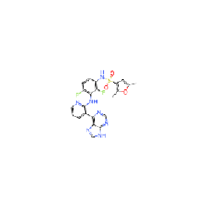 Cc1cc(S(=O)(=O)Nc2ccc(F)c(Nc3ncccc3-c3ncnc4[nH]cnc34)c2F)c(C)o1